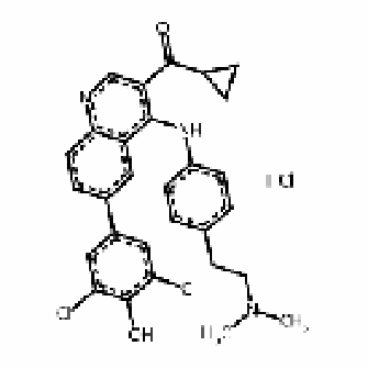 CN(C)CCc1ccc(Nc2c(C(=O)C3CC3)cnc3ccc(-c4cc(Cl)c(O)c(Cl)c4)cc23)cc1.Cl